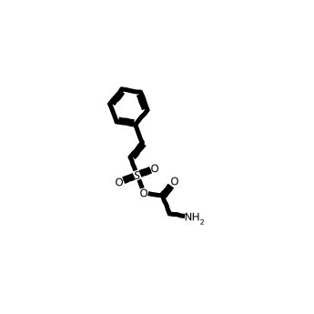 NCC(=O)OS(=O)(=O)C=Cc1ccccc1